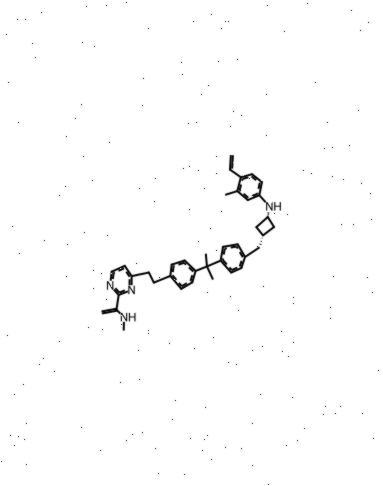 C=Cc1ccc(N[C@H]2C[C@@H](Cc3ccc(C(C)(C)c4ccc(CCc5ccnc(C(=C)NC)n5)cc4)cc3)C2)cc1C